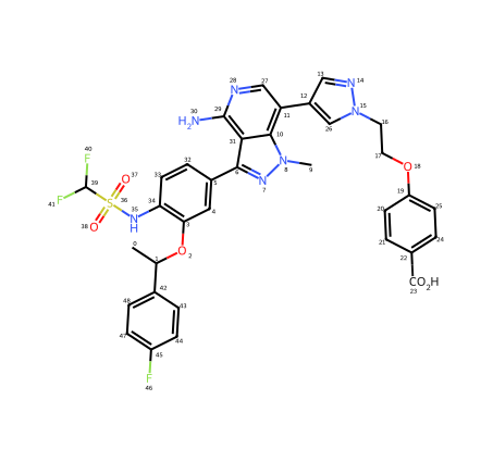 CC(Oc1cc(-c2nn(C)c3c(-c4cnn(CCOc5ccc(C(=O)O)cc5)c4)cnc(N)c23)ccc1NS(=O)(=O)C(F)F)c1ccc(F)cc1